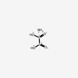 N.O=S(O)S(=O)O